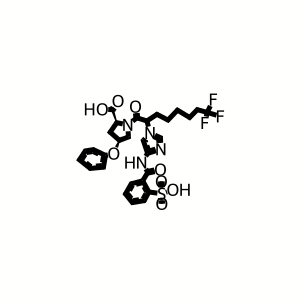 O=C(Nc1cn(C(CCCCCC(F)(F)F)C(=O)N2C[C@@H](Oc3ccccc3)C[C@H]2C(=O)O)cn1)c1ccccc1S(=O)(=O)O